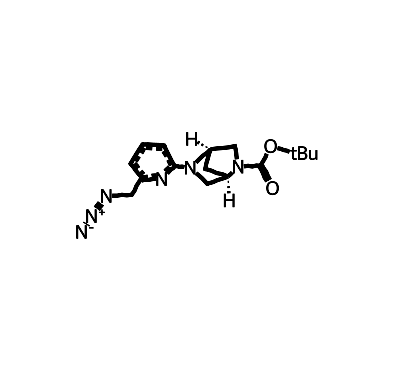 CC(C)(C)OC(=O)N1C[C@H]2C[C@@H]1CN2c1cccc(CN=[N+]=[N-])n1